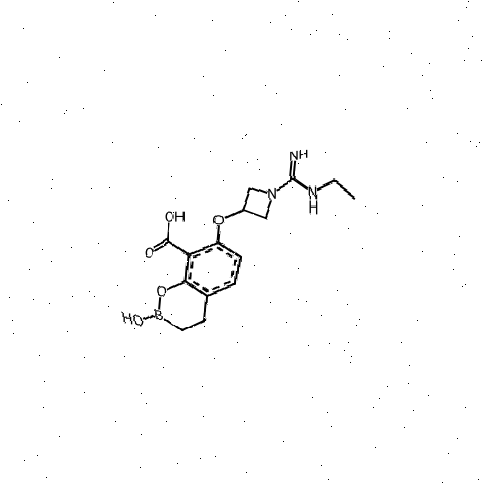 CCNC(=N)N1CC(Oc2ccc3c(c2C(=O)O)OB(O)CC3)C1